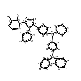 CC1=CC=CC(c2nnc(-c3ccc(N(c4ccccc4)c4ccc(-n5c6ccccc6c6ccccc65)cc4)cc3)n2-c2ccccc2)C1C